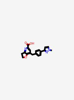 Cn1ccc(-c2ccc(Cc3cc(C(=O)O)nc4c3OCC4)cc2)n1